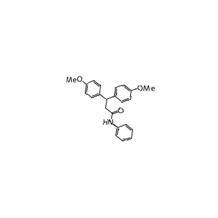 COc1ccc(C(CC(=O)Nc2ccccc2)c2ccc(OC)cc2)cc1